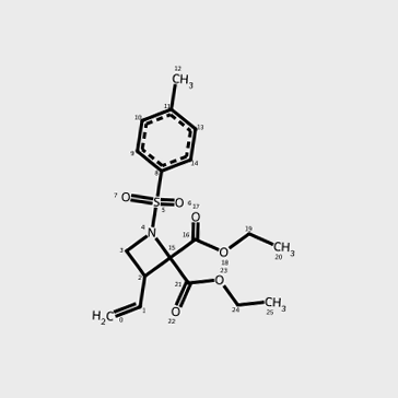 C=CC1CN(S(=O)(=O)c2ccc(C)cc2)C1(C(=O)OCC)C(=O)OCC